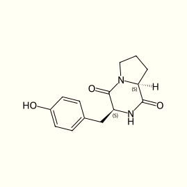 O=C1N[C@@H](Cc2ccc(O)cc2)C(=O)N2CCC[C@@H]12